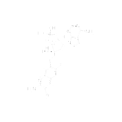 CC1(C)O[C@H]2[C@H](n3ccc4c(N)ncnc43)C[C@](C)(CCc3cc4nc(N)c(Br)cc4cc3F)[C@H]2O1